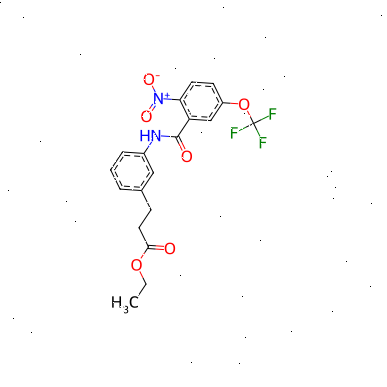 CCOC(=O)CCc1cccc(NC(=O)c2cc(OC(F)(F)F)ccc2[N+](=O)[O-])c1